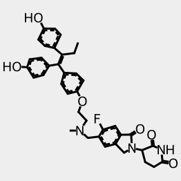 CC/C(=C(/c1ccc(O)cc1)c1ccc(OCCN(C)Cc2cc3c(cc2F)C(=O)N(C2CCC(=O)NC2=O)C3)cc1)c1ccc(O)cc1